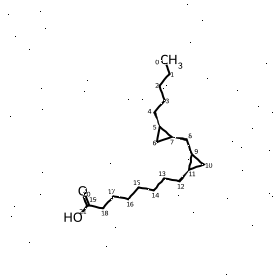 CCCCC[C@@H]1C[C@@H]1CC1C[C@H]1CCCCCCCC(=O)O